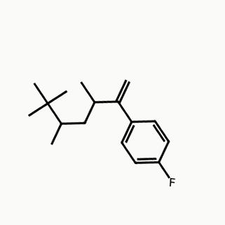 C=C(c1ccc(F)cc1)C(C)CC(C)C(C)(C)C